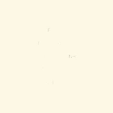 Nc1cc(Cl)ccc1OC(F)F